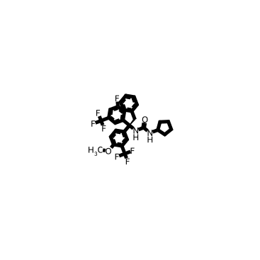 COc1ccc([C@@](Cc2ccccc2)(NC(=O)NC2CCCC2)c2cc(F)cc(C(F)(F)F)c2)cc1C(F)(F)F